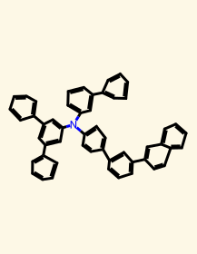 c1ccc(-c2cccc(N(c3ccc(-c4cccc(-c5ccc6ccccc6c5)c4)cc3)c3cc(-c4ccccc4)cc(-c4ccccc4)c3)c2)cc1